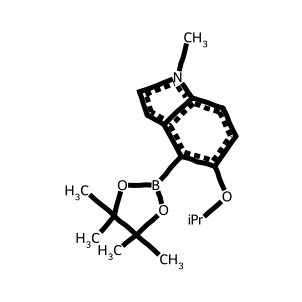 CC(C)Oc1ccc2c(ccn2C)c1B1OC(C)(C)C(C)(C)O1